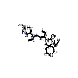 C=C/C(=C\C=C(/C=C)N1CC2(CCOCC2)N(CC)C1=O)C(=C)/C=N\NC